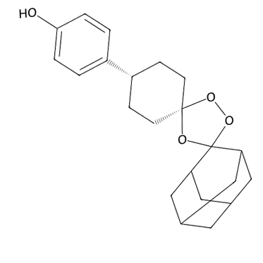 Oc1ccc([C@H]2CC[C@]3(CC2)OOC2(O3)C3CC4CC(C3)CC2C4)cc1